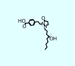 CCCCC[C@](C)(O)CCCN1CCC(=O)N1CCc1ccc(C(=O)O)cc1